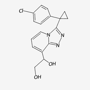 OCC(O)c1cccn2c(C3(c4ccc(Cl)cc4)CC3)nnc12